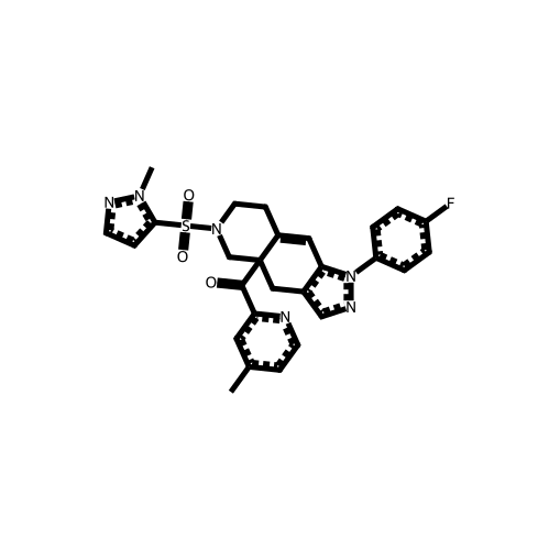 Cc1ccnc(C(=O)C23Cc4cnn(-c5ccc(F)cc5)c4C=C2CCN(S(=O)(=O)c2ccnn2C)C3)c1